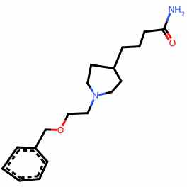 NC(=O)CCCC1CCN(CCOCc2ccccc2)CC1